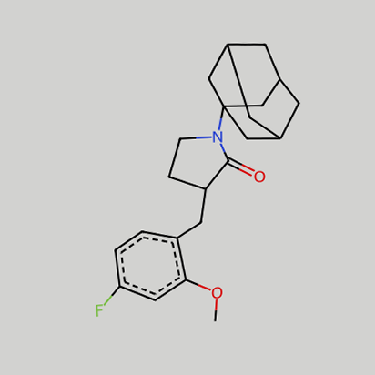 COc1cc(F)ccc1CC1CCN(C23CC4CC(CC(C4)C2)C3)C1=O